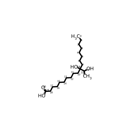 CCCCCCCCC(O)(CCCCCCCCCC(=O)O)C(C)O